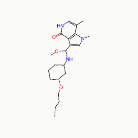 CCCCOC1CCCC(NC(OC)c2cn(C)c3c(C)c[nH]c(=O)c23)C1